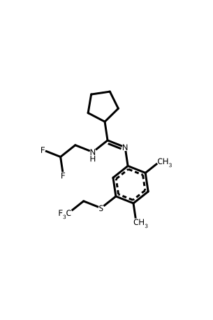 Cc1cc(C)c(SCC(F)(F)F)cc1/N=C(\NCC(F)F)C1CCCC1